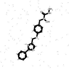 NNC(=O)N(O)Cc1ccc(OCc2csc(-c3ccccc3)n2)cc1